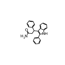 NC(=O)CC(c1ccccc1)c1c(-c2ccccc2)[nH]c2ccccc12